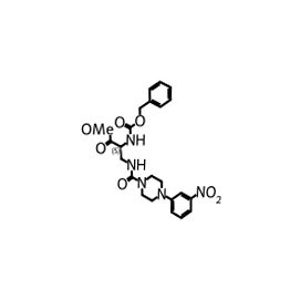 COC(=O)[C@H](CNC(=O)N1CCN(c2cccc([N+](=O)[O-])c2)CC1)NC(=O)OCc1ccccc1